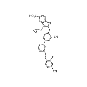 CC1(Cn2c(Cc3ccc(-c4cccc(OCc5ccc(C#N)cc5F)n4)cc3C#N)nc3ccc(C(=O)O)cc32)CC1